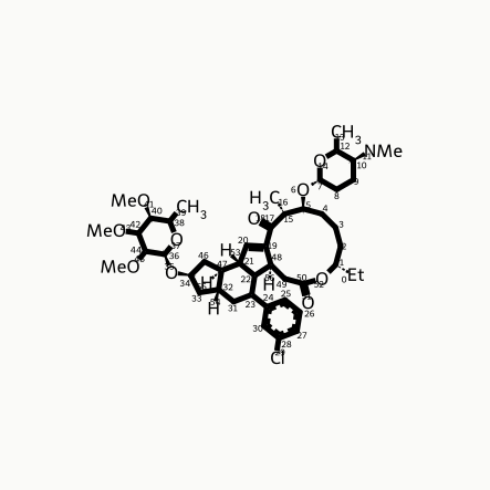 CC[C@H]1CCC[C@H](O[C@H]2CC[C@H](NC)C(C)O2)[C@@H](C)C(=O)C2=C[C@@H]3C(C(c4cccc(Cl)c4)C[C@@H]4C[C@@H](O[C@@H]5OC(C)[C@H](OC)C(OC)C5OC)C[C@H]43)[C@@H]2CC(=O)O1